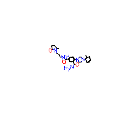 Cc1ccccc1N1CCN(c2ccc(C(=O)NCCCN3C(=O)CCC3C)cc2C(N)=O)CC1